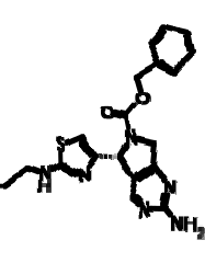 CCNc1nc([C@H]2c3cnc(N)nc3CN2C(=O)OCc2ccccc2)cs1